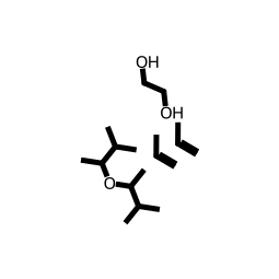 C=CC.C=CC.CC(C)C(C)OC(C)C(C)C.OCCO